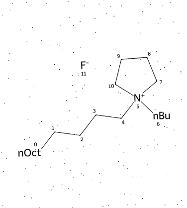 CCCCCCCCCCCC[N+]1(CCCC)CCCC1.[F-]